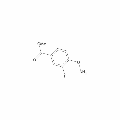 COC(=O)c1ccc(ON)c(F)c1